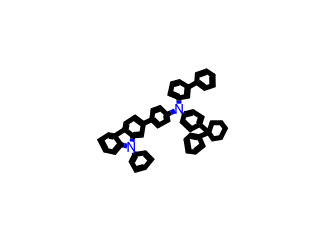 c1ccc(-c2cccc(N(c3ccc(-c4ccc5c6ccccc6n(-c6ccccc6)c5c4)cc3)c3ccc(C4(c5ccccc5)CCCCC4)cc3)c2)cc1